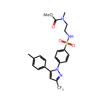 COC(=O)N(C)CCNS(=O)(=O)c1ccc(-n2nc(C(F)(F)F)cc2-c2ccc(C)cc2)cc1